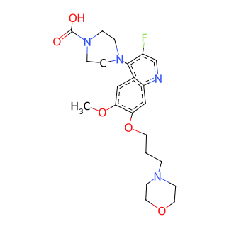 COc1cc2c(N3CCN(C(=O)O)CC3)c(F)cnc2cc1OCCCN1CCOCC1